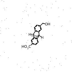 O=C(O)c1ccc2c(c1)[C@H]1O[C@@H]2c2cc(CO)ccc21